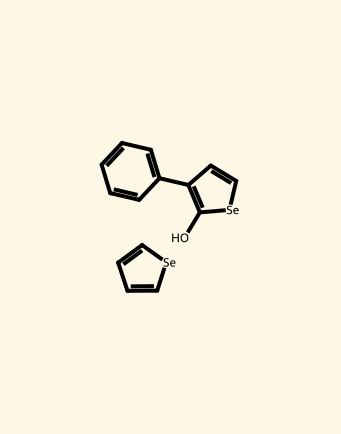 Oc1[se]ccc1-c1ccccc1.c1cc[se]c1